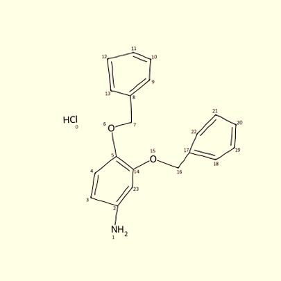 Cl.Nc1ccc(OCc2ccccc2)c(OCc2ccccc2)c1